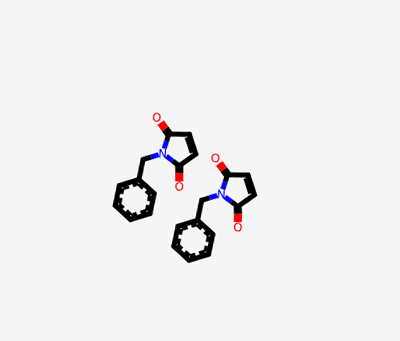 O=C1C=CC(=O)N1Cc1ccccc1.O=C1C=CC(=O)N1Cc1ccccc1